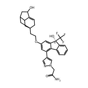 NC(=O)Cn1cc(-c2cc(OCCC34CC=C5C(O)CC(C3)C5C4)cc3c2-c2ccccc2[C@]3(O)C(F)(F)F)cn1